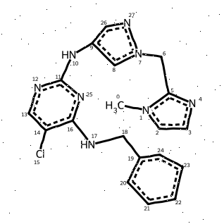 Cn1ccnc1Cn1cc(Nc2ncc(Cl)c(NCc3ccccc3)n2)cn1